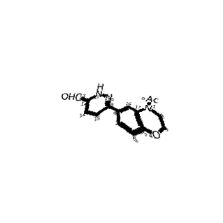 CC(=O)N1CCOc2ccc(C3=NNC(C=O)CC3)cc21